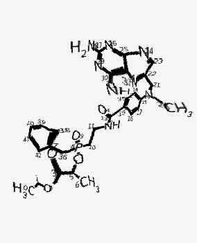 CCOC(=O)[C@H](C)OP(=O)(CCNC(=O)c1ccc(N(C)Cc2cnc3nc(N)nc(N)c3n2)cc1)Cc1ccccc1